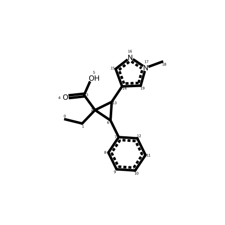 CCC1(C(=O)O)C(c2ccccc2)C1c1cnn(C)c1